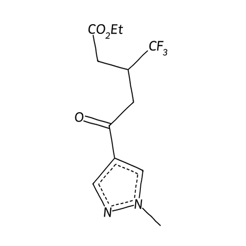 CCOC(=O)CC(CC(=O)c1cnn(C)c1)C(F)(F)F